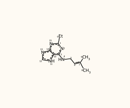 CCc1nc(NCC=C(C)C)c2[nH]cnc2n1